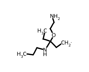 [CH2]CC(CC)(NCCC)OCCN